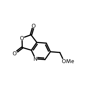 COCc1cnc2c(c1)C(=O)OC2=O